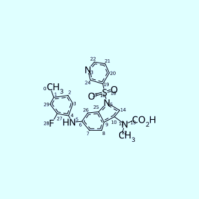 Cc1ccc(Nc2ccc3c(N(C)C(=O)O)cn(S(=O)(=O)c4cccnc4)c3c2)c(F)c1